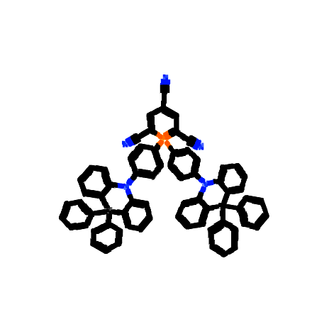 N#CC1=CC(C#N)=P(c2ccc(N3c4ccccc4[Si](c4ccccc4)(c4ccccc4)c4ccccc43)cc2)(c2ccc(N3c4ccccc4[Si](c4ccccc4)(c4ccccc4)c4ccccc43)cc2)C(C#N)=C1